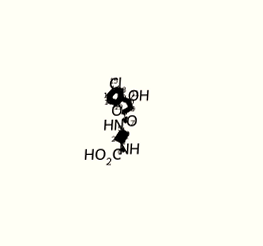 O=C(O)NC12CC(NC(=O)[C@H]3C[C@@H](O)c4cc(Cl)ccc4O3)(C1)C2